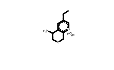 CCc1cnc2c(c1)C(N)COC2.Cl.Cl